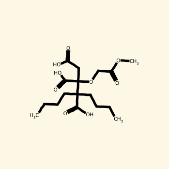 CCCCC(CCCC)(C(=O)O)C(CC(=O)O)(OCC(=O)OC)C(=O)O